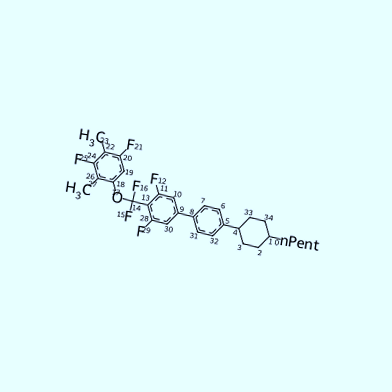 CCCCCC1CCC(c2ccc(-c3cc(F)c(C(F)(F)Oc4cc(F)c(C)c(F)c4C)c(F)c3)cc2)CC1